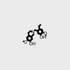 CCc1cc(OC)c(O)cc1CN1CCc2cc(OC)c(O)cc2C1